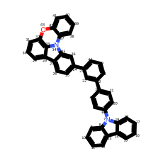 c1cc(-c2ccc(-n3c4ccccc4c4ccccc43)cc2)cc(-c2ccc3c4cccc5c4n(c3c2)-c2ccccc2O5)c1